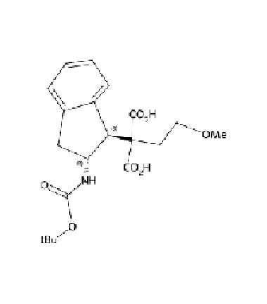 COCCC(C(=O)O)(C(=O)O)[C@@H]1c2ccccc2C[C@H]1NC(=O)OC(C)(C)C